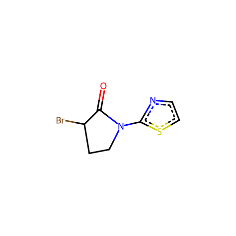 O=C1C(Br)CCN1c1nccs1